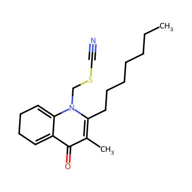 CCCCCCCc1c(C)c(=O)c2c(n1CSC#N)=CCCC=2